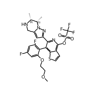 COCCOc1cc(F)cc(F)c1-c1c(-c2cc3n(n2)[C@@H](C)[C@@H](C)NC3)nc(OS(=O)(=O)C(F)(F)F)c2ccsc12